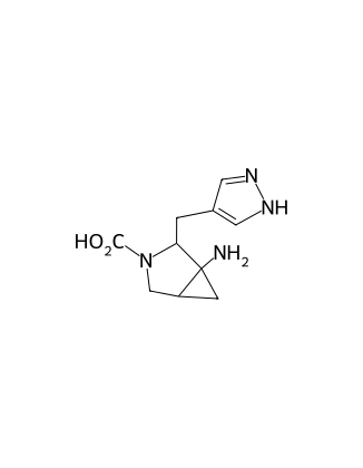 NC12CC1CN(C(=O)O)C2Cc1cn[nH]c1